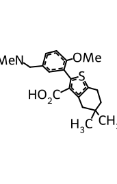 CNCc1ccc(OC)c(-c2sc3c(c2C(=O)O)CC(C)(C)CC3)c1